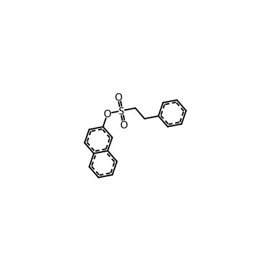 O=S(=O)(CCc1ccccc1)Oc1ccc2ccccc2c1